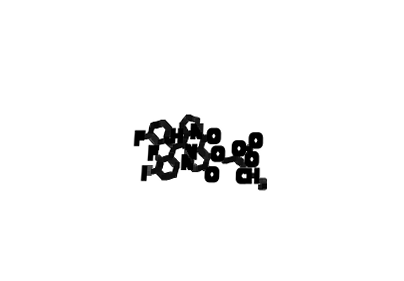 Cc1oc(=O)oc1COc1c2n(ncc1=O)[C@@H]([C@H](c1cccc(F)c1)c1cccc(F)c1F)[C@H]1CCCN1C2=O